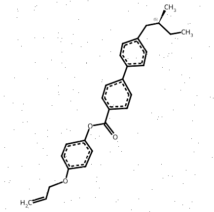 C=CCOc1ccc(OC(=O)c2ccc(-c3ccc(C[C@@H](C)CC)cc3)cc2)cc1